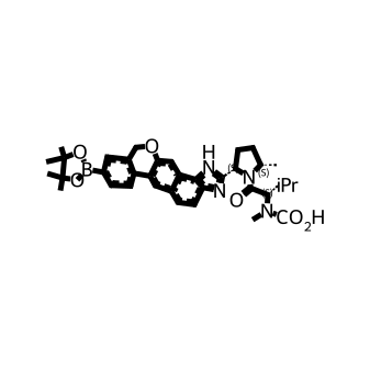 CC(C)[C@@H](C(=O)N1[C@@H](C)CC[C@H]1c1nc2ccc3cc4c(cc3c2[nH]1)OCc1cc(B2OC(C)(C)C(C)(C)O2)ccc1-4)N(C)C(=O)O